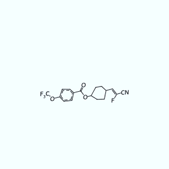 N#CC(F)=CC1CCC(OC(=O)c2ccc(OC(F)(F)F)cc2)CC1